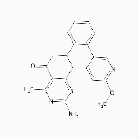 COc1ccc(-c2ccccc2C2CC(=O)c3c(C)nc(N)nc3C2)cn1